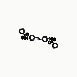 O=S(=O)(Nc1ccc(/C=C/c2ccc(NS(=O)(=O)c3ccccc3)cc2)cc1)c1ccccc1